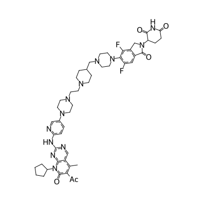 CC(=O)c1c(C)c2cnc(Nc3ccc(N4CCN(CCN5CCC(CN6CCN(c7c(F)cc8c(c7F)CN(C7CCC(=O)NC7=O)C8=O)CC6)CC5)CC4)cn3)nc2n(C2CCCC2)c1=O